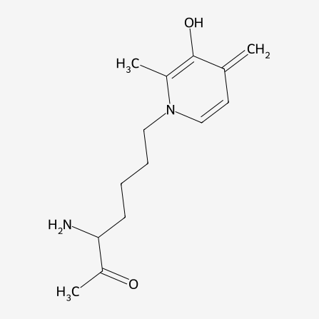 C=C1C=CN(CCCCC(N)C(C)=O)C(C)=C1O